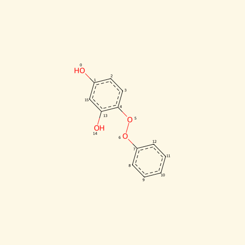 Oc1ccc(OOc2ccccc2)c(O)c1